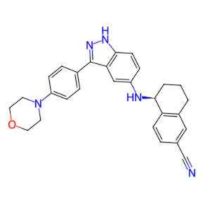 N#Cc1ccc2c(c1)CCC[C@@H]2Nc1ccc2[nH]nc(-c3ccc(N4CCOCC4)cc3)c2c1